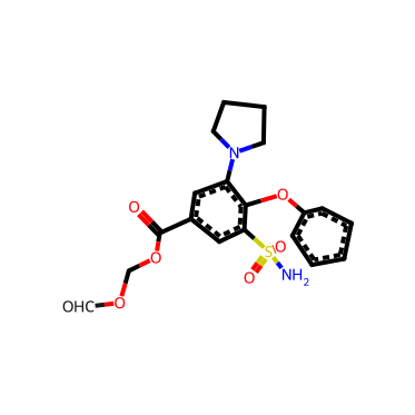 NS(=O)(=O)c1cc(C(=O)OCOC=O)cc(N2CCCC2)c1Oc1ccccc1